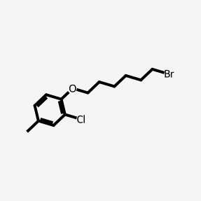 Cc1ccc(OCCCCCCBr)c(Cl)c1